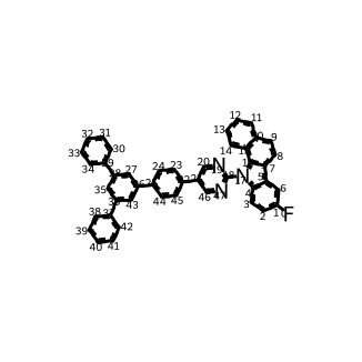 Fc1ccc2c(c1)c1ccc3ccccc3c1n2-c1ncc(-c2ccc(-c3cc(-c4ccccc4)cc(-c4ccccc4)c3)cc2)cn1